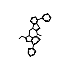 CCC1=Cc2c(-c3ccccc3)cccc2C1CC1C(CC)=Cc2c(-c3ccccc3)cccc21